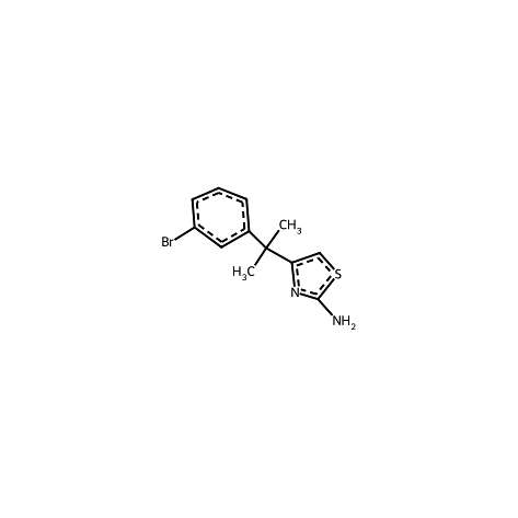 CC(C)(c1cccc(Br)c1)c1csc(N)n1